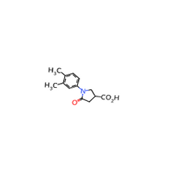 Cc1ccc(N2CC(C(=O)O)CC2=O)cc1C